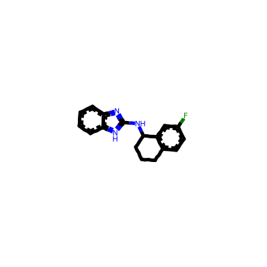 Fc1ccc2c(c1)C(Nc1nc3ccccc3[nH]1)CCC2